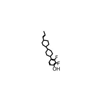 CC=CC1CCC(C2CCC(c3ccc(O)c(F)c3F)CC2)CC1